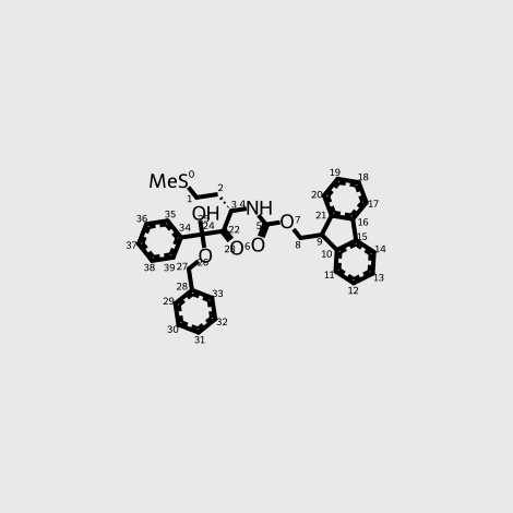 CSCC[C@H](NC(=O)OCC1c2ccccc2-c2ccccc21)C(=O)C(O)(OCc1ccccc1)c1ccccc1